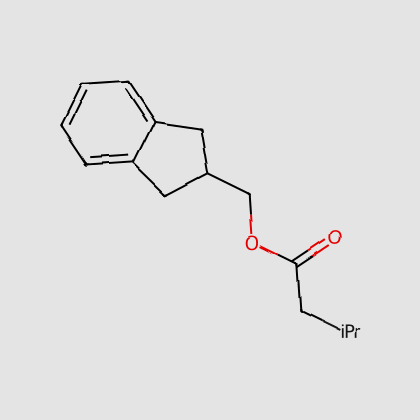 CC(C)CC(=O)OCC1Cc2ccccc2C1